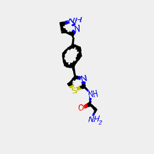 NCC(=O)Nc1nc(-c2ccc(-c3cc[nH]n3)cc2)cs1